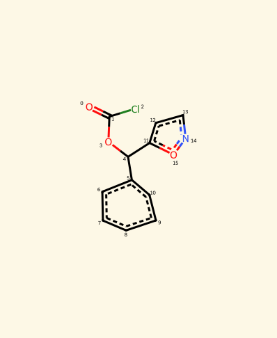 O=C(Cl)OC(c1ccccc1)c1ccno1